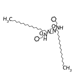 CCCCCCCCCCCCCCCCCC(NC(=O)Cc1ccccc1)N1CCN(C(CCCCCCCCCCCCCCCCC)NC(=O)Cc2ccccc2)CC1